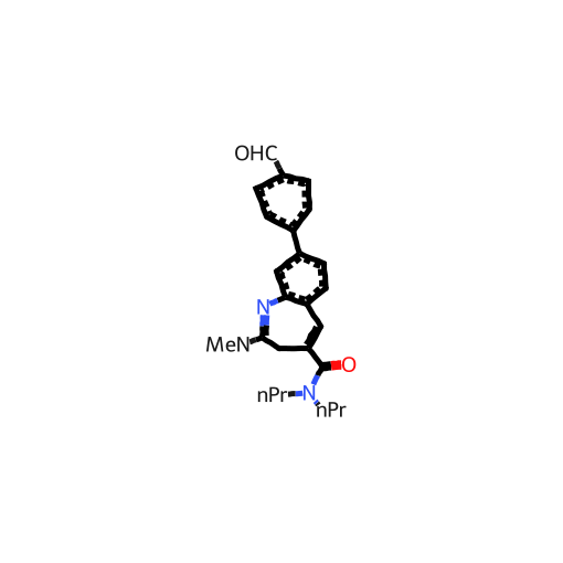 CCCN(CCC)C(=O)C1=Cc2ccc(-c3ccc(C=O)cc3)cc2N=C(NC)C1